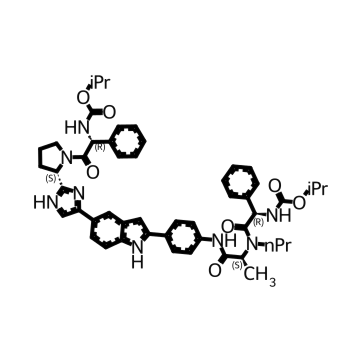 CCCN(C(=O)[C@H](NC(=O)OC(C)C)c1ccccc1)[C@@H](C)C(=O)Nc1ccc(-c2cc3cc(-c4c[nH]c([C@@H]5CCCN5C(=O)[C@H](NC(=O)OC(C)C)c5ccccc5)n4)ccc3[nH]2)cc1